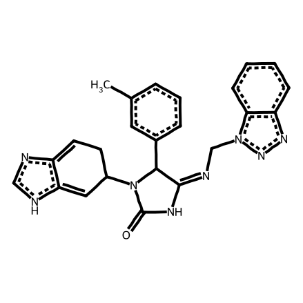 Cc1cccc(C2/C(=N\Cn3nnc4ccccc43)NC(=O)N2C2C=c3[nH]cnc3=CC2)c1